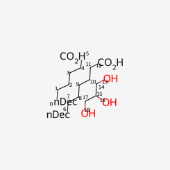 CCCCCCCCCCCCCCC(=O)O.CCCCCCCCCCCCCCCC(=O)O.OCC(O)CO